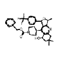 CC1OC(c2ccc(C(F)(F)F)cc2)c2c1nc1c(c2C2CCN(C(=O)OCc3ccccc3)CC2)[C@@H](O)CC(C)(C)C1